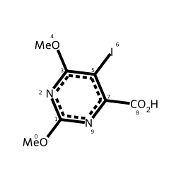 COc1nc(OC)c(I)c(C(=O)O)n1